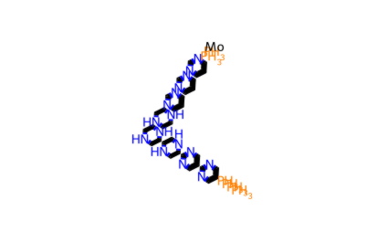 C1CNCCN1.C1CNCCN1.C1CNCCN1.P.P.P.P.P.P.[Mo].c1cncnc1.c1cncnc1.c1cncnc1.c1cncnc1.c1cncnc1